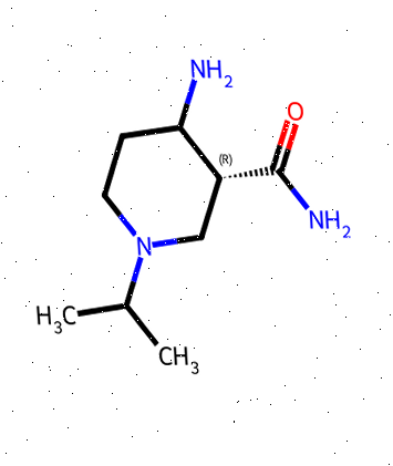 CC(C)N1CCC(N)[C@H](C(N)=O)C1